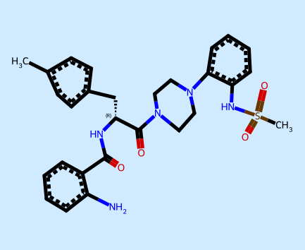 Cc1ccc(C[C@@H](NC(=O)c2ccccc2N)C(=O)N2CCN(c3ccccc3NS(C)(=O)=O)CC2)cc1